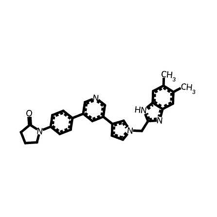 Cc1cc2nc(Cn3ccc(-c4cncc(-c5ccc(N6CCCC6=O)cc5)c4)c3)[nH]c2cc1C